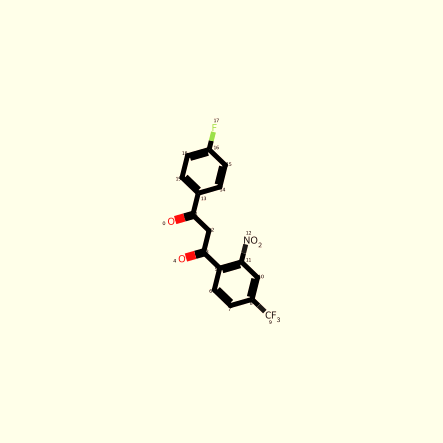 O=C(CC(=O)c1ccc(C(F)(F)F)cc1[N+](=O)[O-])c1ccc(F)cc1